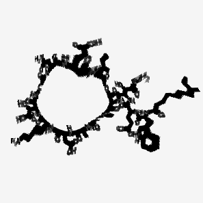 CCC(C)CCCCCCC(=O)NC(Cc1c[nH]c2ccccc12)C(=O)NC(CCC(=O)O)C(=O)NC(C(=O)NC1C(=O)N(C)CC(=O)NC(C)C(=O)NC(CC(=O)O)C(=O)NC(CCCCN)C(=O)NC(C(O)C(=O)O)C(=O)NCC(=O)NC(CC(N)=O)C(=O)NC(CCC(=O)O)C(=O)NC(C(C)CC)C(=O)OC1C)C(O)C(N)=O